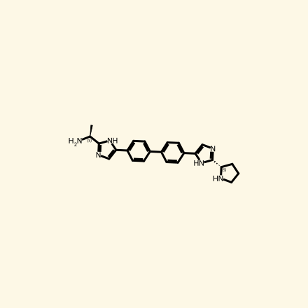 C[C@H](N)c1ncc(-c2ccc(-c3ccc(-c4cnc([C@@H]5CCCN5)[nH]4)cc3)cc2)[nH]1